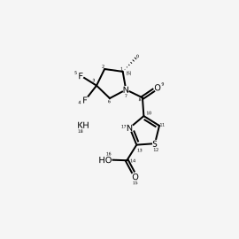 C[C@H]1CC(F)(F)CN1C(=O)c1csc(C(=O)O)n1.[KH]